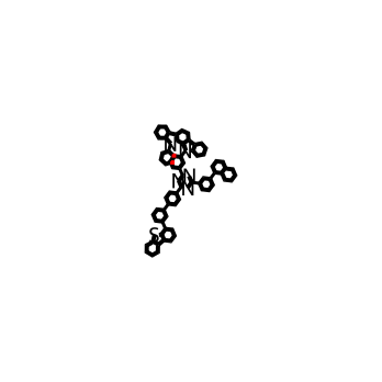 c1ccc(-n2c3ccccc3c3ccc4c5ccccc5n(-c5cccc(-c6nc(-c7ccc(-c8cccc(-c9cccc%10c9sc9ccccc9%10)c8)cc7)nc(-c7cccc(-c8cccc9ccccc89)c7)n6)c5)c4c32)cc1